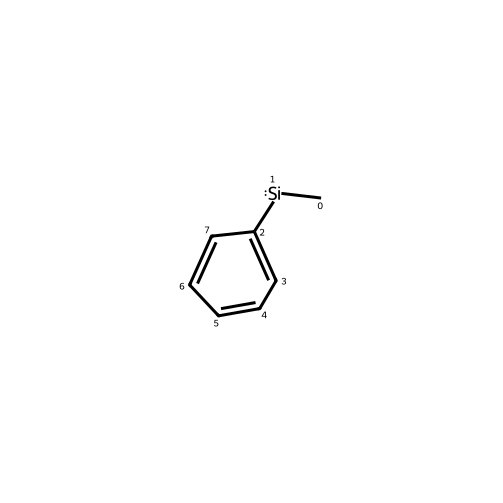 C[Si]c1ccccc1